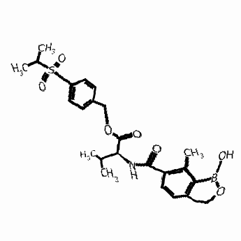 Cc1c(C(=O)N[C@H](C(=O)OCc2ccc(S(=O)(=O)C(C)C)cc2)C(C)C)ccc2c1B(O)OC2